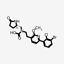 COc1nc(-c2cccc(Br)c2Cl)ccc1CCN(C[C@@H]1CCC(=O)N1)C(=O)O